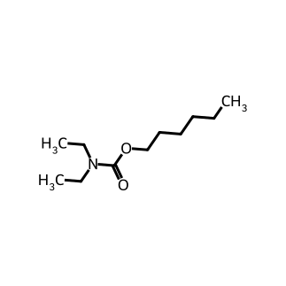 CCCCCCOC(=O)N(CC)CC